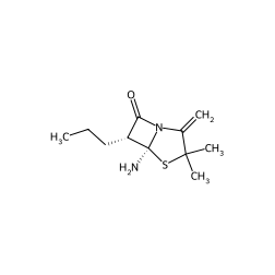 C=C1N2C(=O)[C@@H](CCC)[C@]2(N)SC1(C)C